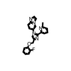 Cc1cccc(-c2nc(COc3ccccc3F)cn2-c2ccc3nccn3c2)n1